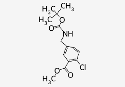 COC(=O)c1cc(CNC(=O)OC(C)(C)C)ccc1Cl